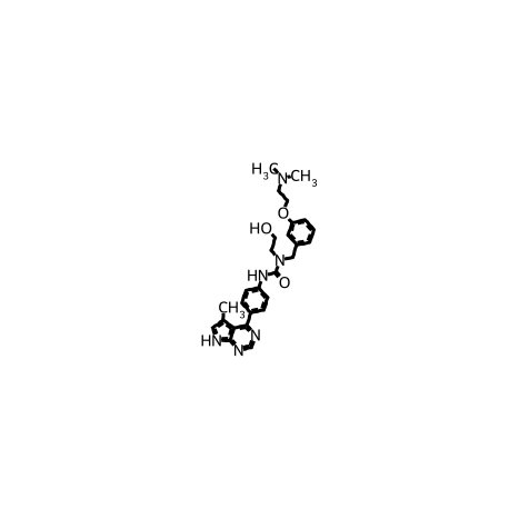 Cc1c[nH]c2ncnc(-c3ccc(NC(=O)N(CCO)Cc4cccc(OCCN(C)C)c4)cc3)c12